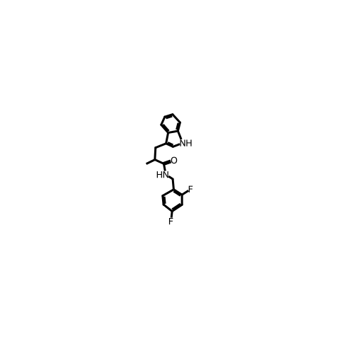 CC(Cc1c[nH]c2ccccc12)C(=O)NCc1ccc(F)cc1F